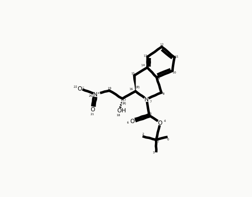 CC(C)(C)OC(=O)N1Cc2ccccc2C[C@@H]1[C@H](O)C[N+](=O)[O-]